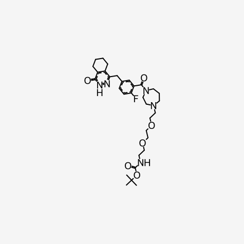 CC(C)(C)OC(=O)NCCOCCOCCN1CCCN(C(=O)c2cc(Cc3n[nH]c(=O)c4c3CCCC4)ccc2F)CC1